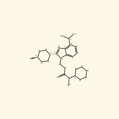 CCN(C(=O)CCn1c2cccc(C(F)F)c2nc1[C@H]1CC[C@H](C)CC1)C1CCCCC1